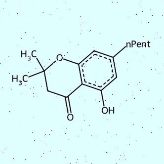 CCCCCc1cc(O)c2c(c1)OC(C)(C)CC2=O